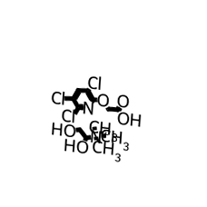 C[N+](C)(C)C(O)CO.O=C(O)COc1nc(Cl)c(Cl)cc1Cl